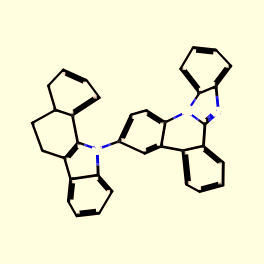 C1=CCC2CCc3c(n(-c4ccc5c(c4)c4ccccc4c4nc6ccccc6n54)c4ccccc34)C2=C1